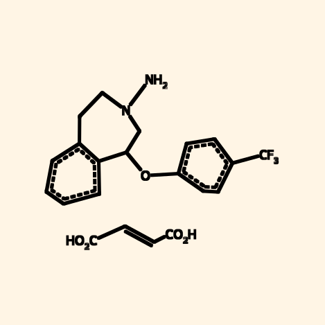 NN1CCc2ccccc2C(Oc2ccc(C(F)(F)F)cc2)C1.O=C(O)C=CC(=O)O